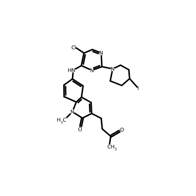 CC(=O)CCc1cc2cc(Nc3nc(N4CCC(I)CC4)ncc3Cl)ccc2n(C)c1=O